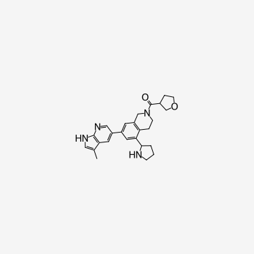 Cc1c[nH]c2ncc(-c3cc4c(c(C5CCCN5)c3)CCN(C(=O)C3CCOC3)C4)cc12